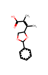 CC(C(=O)O)=C(C)C1COC(c2ccccc2)O1